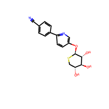 N#Cc1ccc(-c2ccc(O[C@@H]3SC[C@@H](O)[C@H](O)[C@H]3O)cn2)cc1